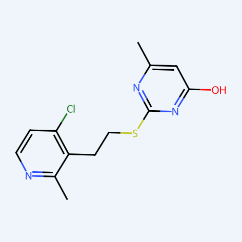 Cc1cc(O)nc(SCCc2c(Cl)ccnc2C)n1